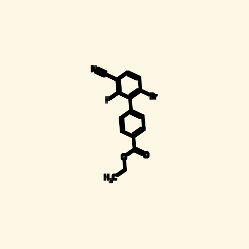 CCOC(=O)c1ccc(-c2c(Br)ccc(C#N)c2F)cc1